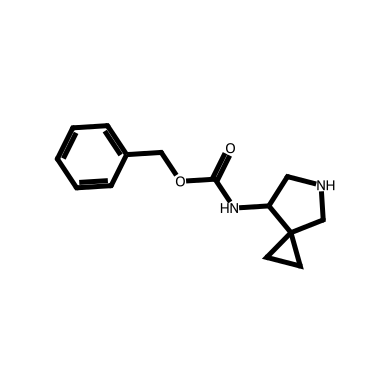 O=C(NC1CNCC12CC2)OCc1ccccc1